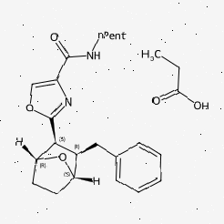 CCC(=O)O.CCCCCNC(=O)c1coc([C@H]2[C@@H](Cc3ccccc3)[C@@H]3CC[C@H]2O3)n1